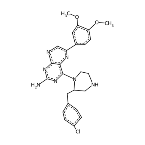 COc1ccc(-c2cnc3nc(N)nc(N4CCNCC4Cc4ccc(Cl)cc4)c3n2)cc1OC